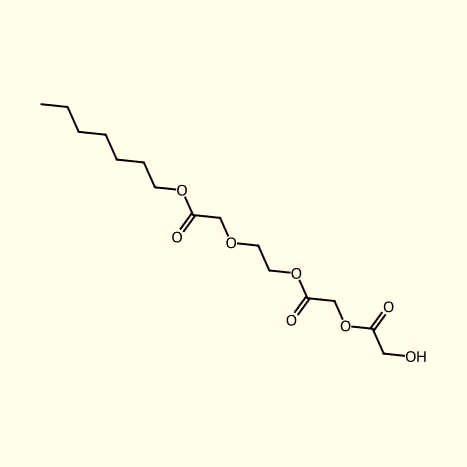 CCCCCCCOC(=O)COCCOC(=O)COC(=O)CO